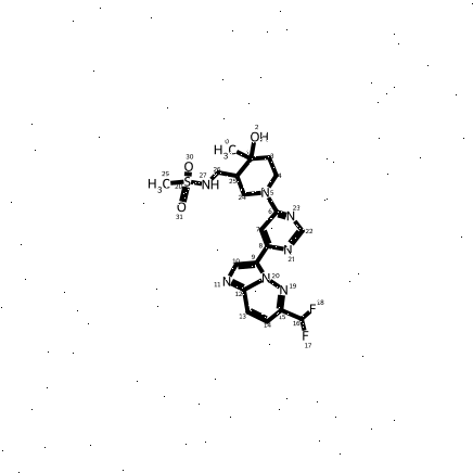 CC1(O)CCN(c2cc(-c3cnc4ccc(C(F)F)nn34)ncn2)CC1CNS(C)(=O)=O